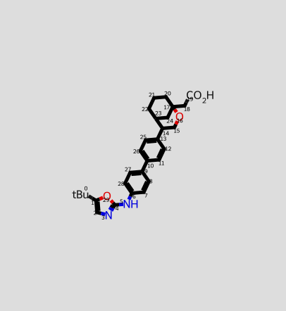 CC(C)(C)c1cnc(Nc2ccc(-c3ccc(C4COC5(CC(=O)O)CCCC4C5)cc3)cc2)o1